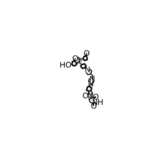 COc1cccc([C@@H]2COc3cc(O)ccc3[C@@H]2c2ccc(N3CCC(CN4CCN(c5ccc6c(c5)CN([C@H]5CCC(=O)NC5=O)C6=O)CC4)CC3)cc2)c1